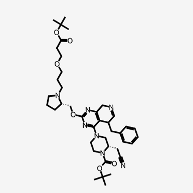 CC(C)(C)OC(=O)CCOCCCN1CCC[C@H]1COc1nc2c(c(N3CCN(C(=O)OC(C)(C)C)[C@@H](CC#N)C3)n1)C(Cc1ccccc1)C=NC2